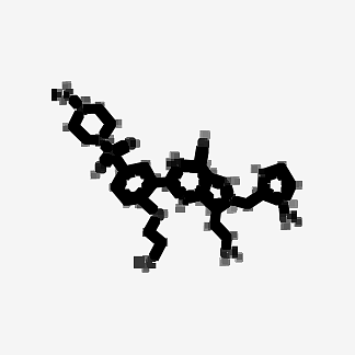 CCCOc1ccc(S(=O)(=O)N2CCN(C)CC2)cc1-c1nc2c(CCC)n(Cc3nccn3C)nc2c(=O)[nH]1